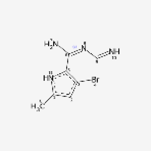 Cc1cc(Br)c(/C(N)=N\C=N)[nH]1